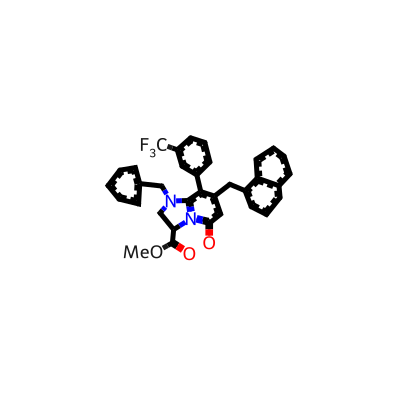 COC(=O)C1CN(Cc2ccccc2)c2c(-c3cccc(C(F)(F)F)c3)c(Cc3cccc4ccccc34)cc(=O)n21